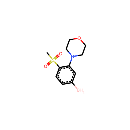 Bc1ccc(S(C)(=O)=O)c(N2CCOCC2)c1